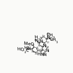 COc1cc(-c2[nH]nc3ncnc(C[C@@H](N)N4CCC(N(C)C)CC4)c23)ccc1NC(=O)O